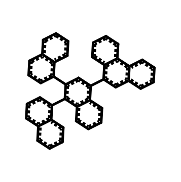 [c]1c(-c2cccc3ccccc23)c(-c2cccc3ccccc23)c2ccccc2c1-c1cc2ccccc2c2ccccc12